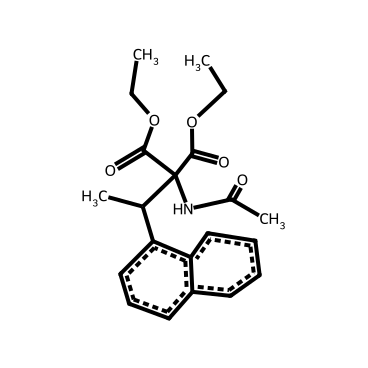 CCOC(=O)C(NC(C)=O)(C(=O)OCC)C(C)c1cccc2ccccc12